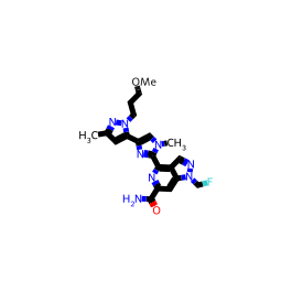 COCCCn1nc(C)cc1-c1cn(C)c(-c2nc(C(N)=O)cc3c2cnn3CF)n1